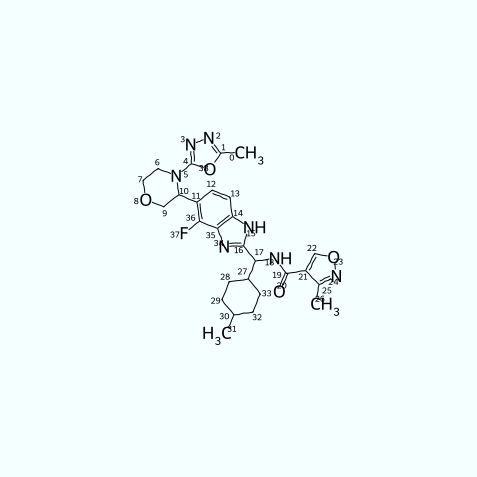 Cc1nnc(N2CCOCC2c2ccc3[nH]c(C(NC(=O)c4conc4C)C4CCC(C)CC4)nc3c2F)o1